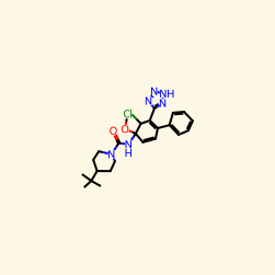 COC1(NC(=O)N2CCC(C(C)(C)C)CC2)C=CC(c2ccccc2)=C(c2nn[nH]n2)C1Cl